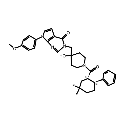 COc1ccc(-n2ccc3c(=O)n(CC4(O)CCN(C(=O)[C@H]5CC(F)(F)CC[C@@H]5c5ccccc5)CC4)cnc32)cc1